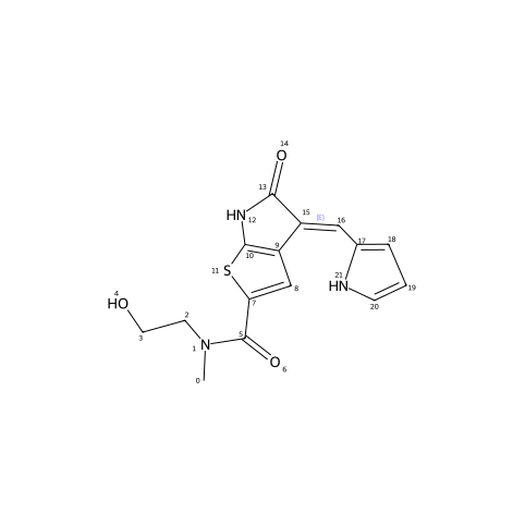 CN(CCO)C(=O)c1cc2c(s1)NC(=O)/C2=C/c1ccc[nH]1